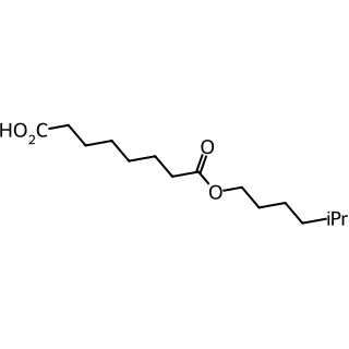 CC(C)CCCCOC(=O)CCCCCCC(=O)O